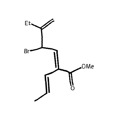 C=C(CC)C(Br)/C=C(\C=C\C)C(=O)OC